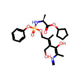 C=N/C(C)=C(O)\C(CO)=C(/C)COP(=O)(N[C@@H](C)C(=O)OC1CCCC1)Oc1ccccc1